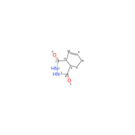 O=C1NNC(=O)C2CCC=CC12